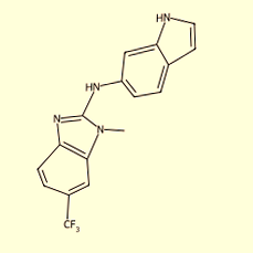 Cn1c(Nc2ccc3cc[nH]c3c2)nc2ccc(C(F)(F)F)cc21